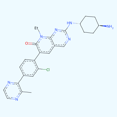 CCn1c(=O)c(-c2ccc(-c3nccnc3C)cc2Cl)cc2cnc(N[C@H]3CC[C@H](N)CC3)nc21